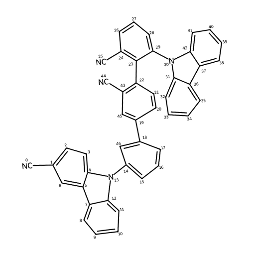 N#Cc1ccc2c(c1)c1ccccc1n2-c1cccc(-c2ccc(-c3c(C#N)cccc3-n3c4ccccc4c4ccccc43)c(C#N)c2)c1